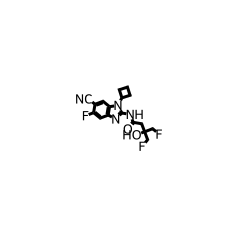 N#Cc1cc2c(cc1F)nc(NC(=O)CC(O)(CF)CF)n2C1CCC1